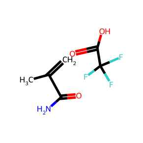 C=C(C)C(N)=O.O=C(O)C(F)(F)F